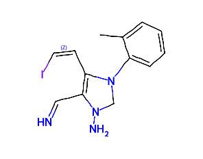 Cc1ccccc1N1CN(N)C(C=N)=C1/C=C\I